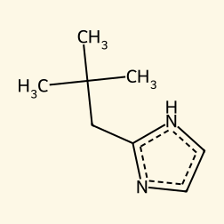 CC(C)(C)Cc1ncc[nH]1